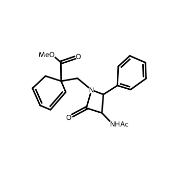 COC(=O)C1(CN2C(=O)C(NC(C)=O)C2c2ccccc2)C=CC=CC1